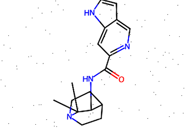 CC1(C)C(NC(=O)c2cc3[nH]ccc3cn2)C2CCN1CC2